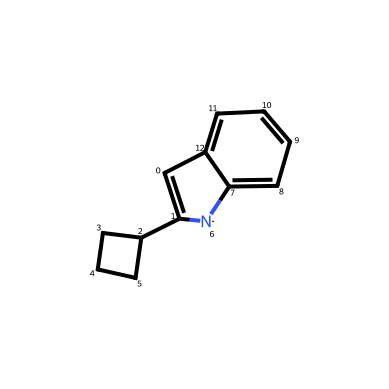 C1=C(C2CCC2)[N]c2ccccc21